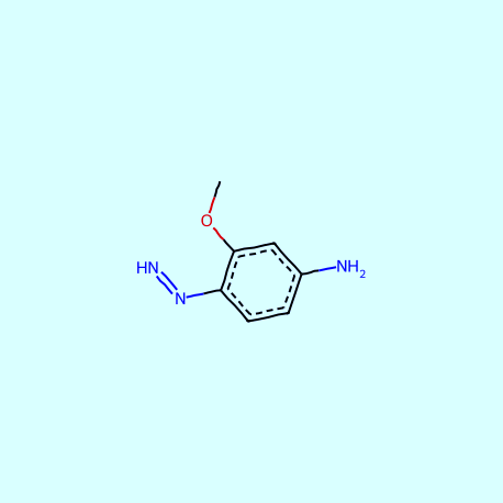 COc1cc(N)ccc1N=N